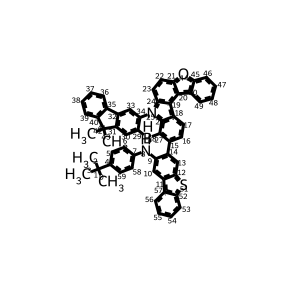 CC(C)(C)c1ccc(Nc2cc3c(cc2-c2ccc4c5c6c(ccc5n5c4c2Bc2cc4c(cc2-5)-c2ccccc2C4(C)C)oc2ccccc26)sc2ccccc23)cc1